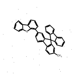 Cc1ccc2c(c1)C1(c3ccccc3-c3ccccc31)c1cc(-c3cccc4c3sc3ccccc34)ccc1-2